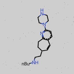 CCCCNCCC1C=Cc2ccc(N3CCNCC3)nc2CC1